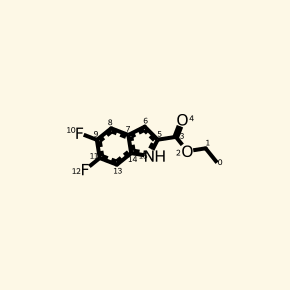 CCOC(=O)c1cc2cc(F)c(F)cc2[nH]1